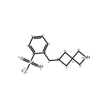 N=S(=O)(c1ccccc1CC1CC2(CNC2)C1)C(F)(F)F